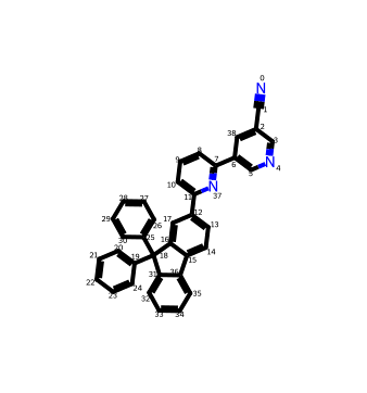 N#Cc1cncc(-c2cccc(-c3ccc4c(c3)C(c3ccccc3)(c3ccccc3)c3ccccc3-4)n2)c1